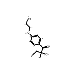 CC(O)(CI)C(=O)c1ccc(OCCO)cc1